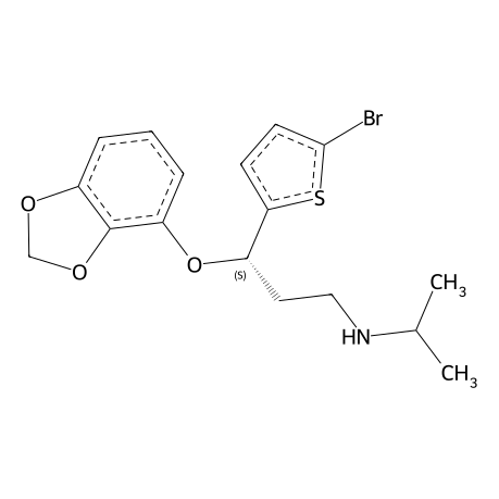 CC(C)NCC[C@H](Oc1cccc2c1OCO2)c1ccc(Br)s1